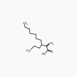 C=C(C(=O)O)C(CCC)CCCCCCC